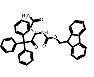 NC(=O)C[C@H](NC(=O)OCC1c2ccccc2-c2ccccc21)C(=O)C(c1ccccc1)(c1ccccc1)c1ccccc1